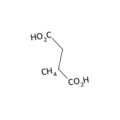 C.O=C(O)CCC(=O)O